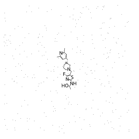 Cc1cc(C[C@H]2CCCN(Cc3sc(NC(C)O)nc3F)C2)cc(C)n1